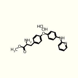 COC(=O)[C@@H](N)Cc1ccc(Oc2ccc(Nc3ccccn3)cc2)cc1.Cl.Cl